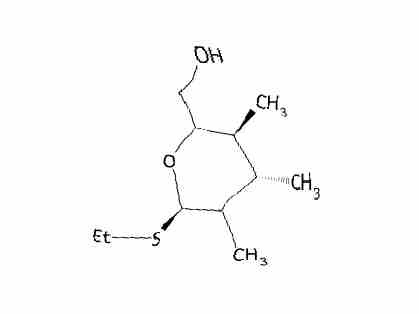 CCS[C@H]1OC(CO)[C@@H](C)[C@H](C)C1C